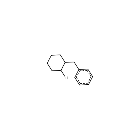 ClC1CCCC[C]1Cc1ccccc1